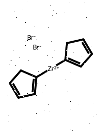 C1=CC[C]([Zr+2][C]2=CC=CC2)=C1.[Br-].[Br-]